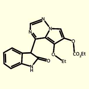 CCOC(=O)Oc1cn2ncnc(C3C(=O)Nc4ccccc43)c2c1OCC